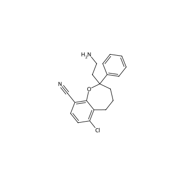 N#Cc1ccc(Cl)c2c1OC(CCN)(c1ccccc1)CCC2